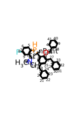 CCCCCC(CC)(Pc1ccc(F)cc1CN(C)C)c1cc(Cc2ccccc2)cc(Cc2ccccc2)c1OCc1ccccc1